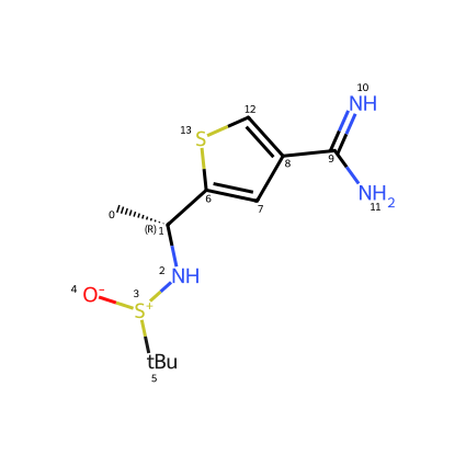 C[C@@H](N[S+]([O-])C(C)(C)C)c1cc(C(=N)N)cs1